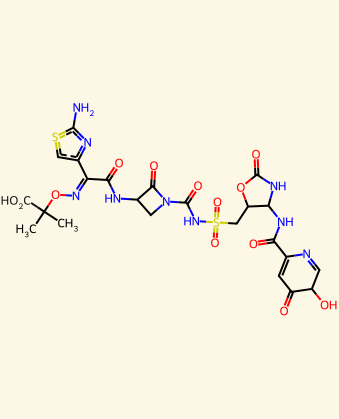 CC(C)(ON=C(C(=O)NC1CN(C(=O)NS(=O)(=O)CC2OC(=O)NC2NC(=O)C2=CC(=O)C(O)C=N2)C1=O)c1csc(N)n1)C(=O)O